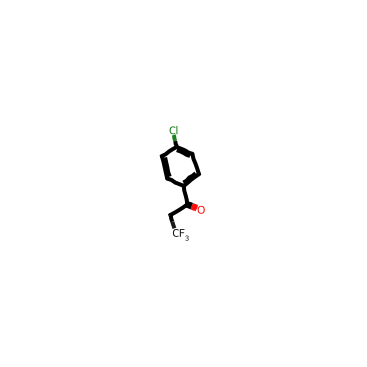 O=C(CC(F)(F)F)c1ccc(Cl)cc1